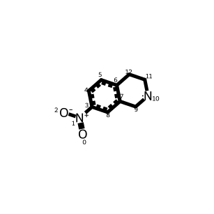 O=[N+]([O-])c1ccc2c(c1)C[N]CC2